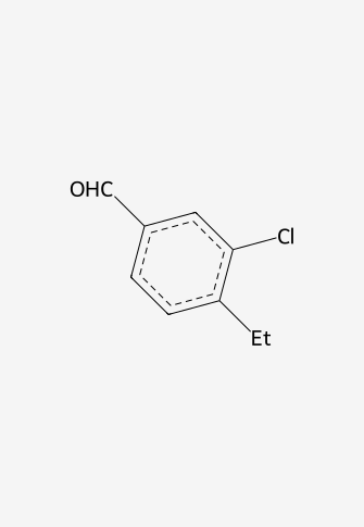 CCc1ccc(C=O)cc1Cl